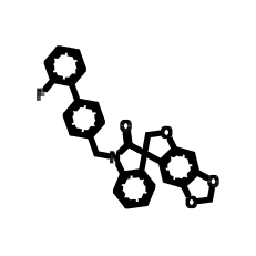 O=C1N(Cc2ccc(-c3ccccc3F)cc2)c2ccccc2C12COc1cc3c(cc12)OCO3